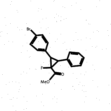 COC(=O)C1(F)C(c2ccccc2)C1c1ccc(Br)cc1